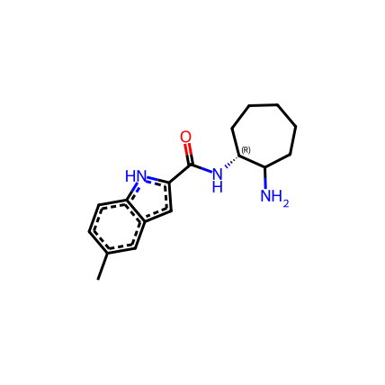 Cc1ccc2[nH]c(C(=O)N[C@@H]3CCCCCC3N)cc2c1